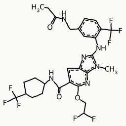 CCC(=O)NCc1ccc(C(F)(F)F)c(Nc2nc3cc(C(=O)NC4CCC(C(F)(F)F)CC4)c(OCC(F)F)nc3n2C)c1